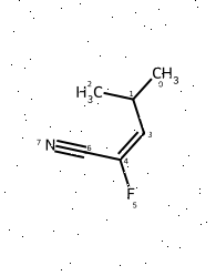 CC(C)/C=C(/F)C#N